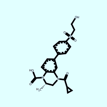 C[C@H]1CN(C(=O)C2CC2)c2cc(-c3ccc(S(=O)(=O)CCO)cc3)ccc2N1C(=O)O